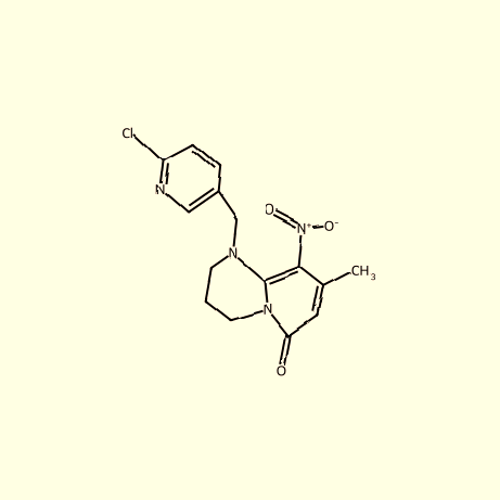 Cc1cc(=O)n2c(c1[N+](=O)[O-])N(Cc1ccc(Cl)nc1)CCC2